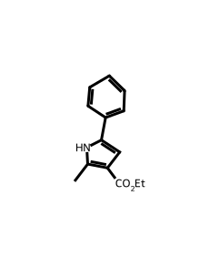 CCOC(=O)c1cc(-c2ccccc2)[nH]c1C